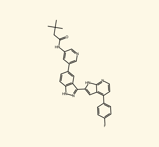 CC(C)(C)CC(=O)Nc1cncc(-c2ccc3[nH]nc(-c4cc5c(-c6ccc(F)cc6)ccnc5[nH]4)c3c2)c1